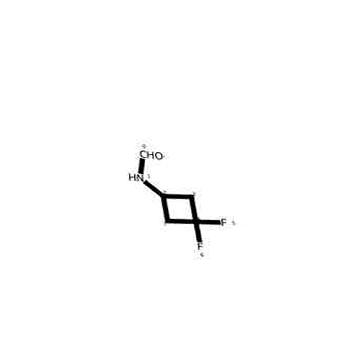 O=[C]NC1CC(F)(F)C1